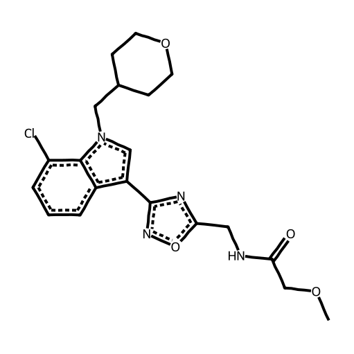 COCC(=O)NCc1nc(-c2cn(CC3CCOCC3)c3c(Cl)cccc23)no1